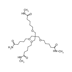 CNC(=O)CCCCOCC(COCCCCC(N)=O)(COCCCCC(=O)NC)COCCCCC(=O)NC